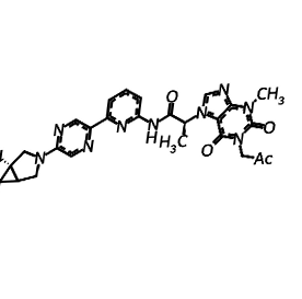 CC(=O)Cn1c(=O)c2c(ncn2[C@@H](C)C(=O)Nc2cccc(-c3cnc(N4CC5[C@H](C4)C5(F)F)cn3)n2)n(C)c1=O